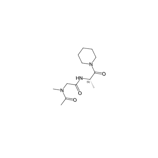 CC(=O)N(C)CC(=O)N[C@@H](C)C(=O)N1CCCCC1